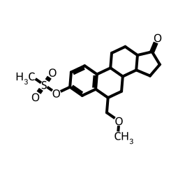 COCC1CC2C(CCC3C(=O)CCC32)c2ccc(OS(C)(=O)=O)cc21